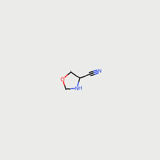 N#CC1[CH]OCN1